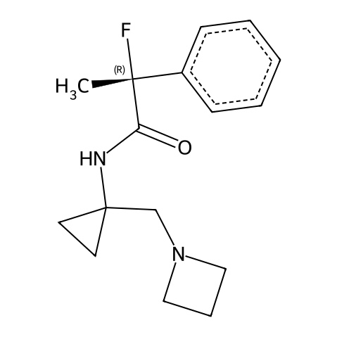 C[C@](F)(C(=O)NC1(CN2CCC2)CC1)c1ccccc1